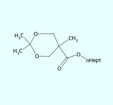 CCCCCCCOC(=O)C1(C)COC(C)(C)OC1